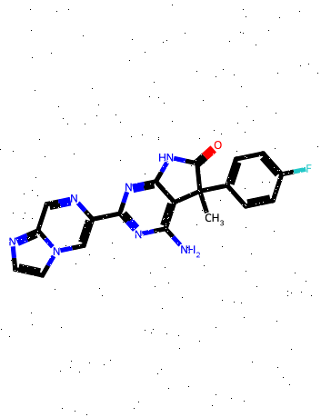 CC1(c2ccc(F)cc2)C(=O)Nc2nc(-c3cn4ccnc4cn3)nc(N)c21